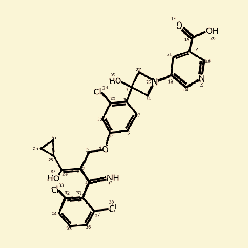 N=C(/C(COc1ccc(C2(O)CN(c3cncc(C(=O)O)c3)C2)c(Cl)c1)=C(\O)C1CC1)c1c(Cl)cccc1Cl